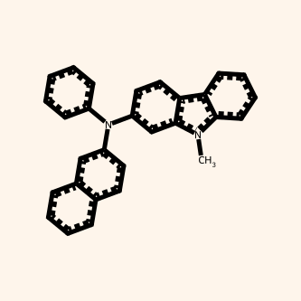 Cn1c2ccccc2c2ccc(N(c3ccccc3)c3ccc4ccccc4c3)cc21